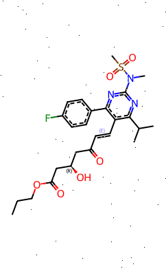 CCCOC(=O)C[C@H](O)CC(=O)/C=C/c1c(-c2ccc(F)cc2)nc(N(C)S(C)(=O)=O)nc1C(C)C